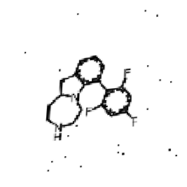 Fc1cc(F)c(-c2cccc3c2N2CCNCCC2C3)c(F)c1